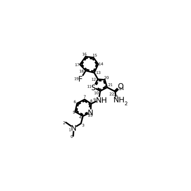 CN(C)Cc1cccc(Nc2sc(-c3ccccc3F)cc2C(N)=O)n1